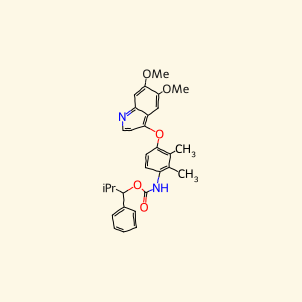 COc1cc2nccc(Oc3ccc(NC(=O)OC(c4ccccc4)C(C)C)c(C)c3C)c2cc1OC